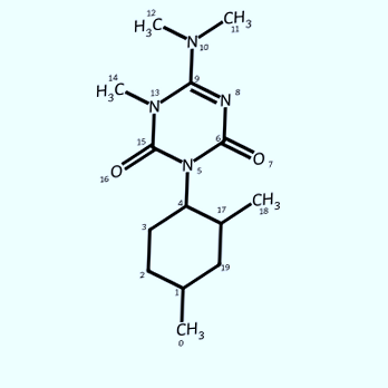 CC1CCC(n2c(=O)nc(N(C)C)n(C)c2=O)C(C)C1